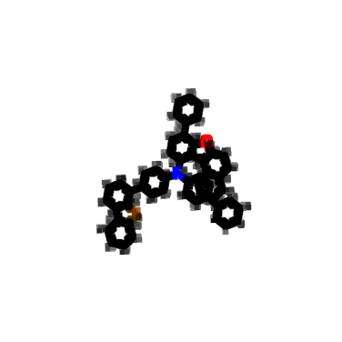 c1ccc(-c2ccc(N(c3ccc(-c4cccc5c4sc4ccccc45)cc3)c3ccc(-c4ccccc4)c4oc5ccc6ccccc6c5c34)cc2)cc1